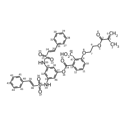 C=C(C)C(=O)OCCOc1cccc(C(=O)Oc2cc(NS(=O)(=O)C=Cc3ccccc3)cc(NS(=O)(=O)C=Cc3ccccc3)c2)c1C(=O)O